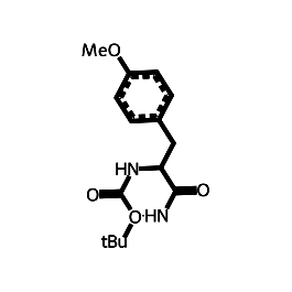 COc1ccc(CC(NC(=O)OC(C)(C)C)C([NH])=O)cc1